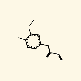 C=CC(=O)Cc1ccc(O)c(OCC)c1